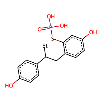 CCC(Cc1ccc(O)cc1SP(=O)(O)O)c1ccc(O)cc1